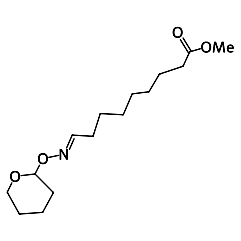 COC(=O)CCCCCCCC=NOC1CCCCO1